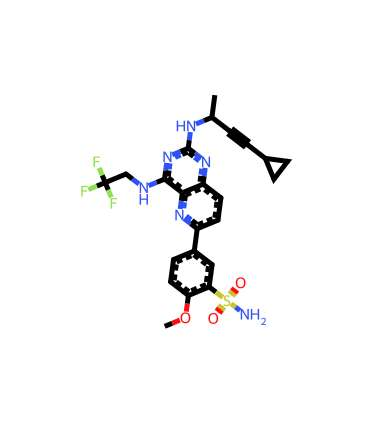 COc1ccc(-c2ccc3nc(NC(C)C#CC4CC4)nc(NCC(F)(F)F)c3n2)cc1S(N)(=O)=O